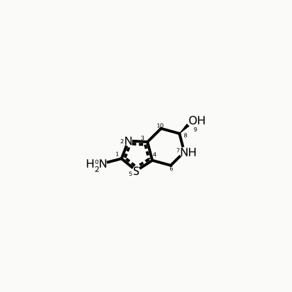 Nc1nc2c(s1)CN[C@H](O)C2